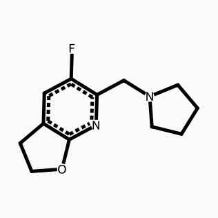 Fc1cc2c(nc1CN1CCCC1)OCC2